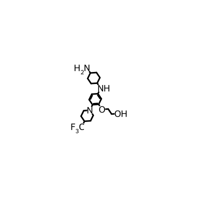 NC1CCC(Nc2ccc(N3CCC(C(F)(F)F)CC3)c(OCCO)c2)CC1